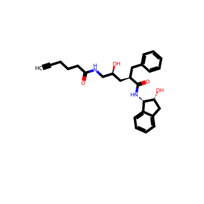 C#CCCCC(=O)NC[C@@H](O)C[C@@H](Cc1ccccc1)C(=O)N[C@H]1c2ccccc2C[C@H]1O